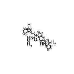 CCNC(=O)N(CCc1c[nH]c2ccccc12)C1CCc2cc(C(=O)Nc3ccccc3N)ccc21